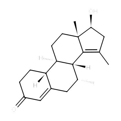 CC1=C2[C@H]3[C@H](CC[C@]2(C)[C@@H](O)C1)[C@H]1CCC(=O)C=C1C[C@H]3C